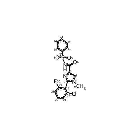 Cn1cc(C(=O)NS(=O)(=O)c2ccccc2)nc1-c1c(F)cccc1Cl